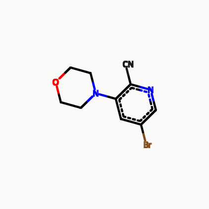 N#Cc1ncc(Br)cc1N1CCOCC1